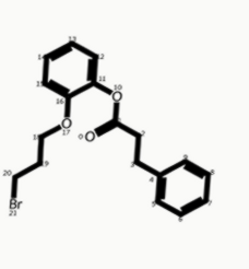 O=C(CCc1ccccc1)Oc1ccccc1OCCCBr